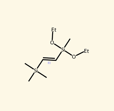 CCO[Si](C)(/C=C/[Si](C)(C)C)OCC